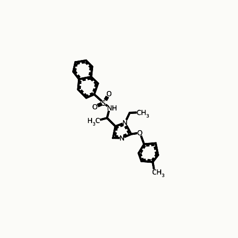 CCn1c(C(C)NS(=O)(=O)c2ccc3ccccc3c2)cnc1Oc1ccc(C)cc1